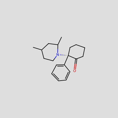 CC1CCN([C@]2(c3ccccc3)CCCCC2=O)C(C)C1